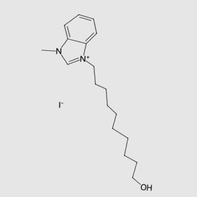 Cn1c[n+](CCCCCCCCCCO)c2ccccc21.[I-]